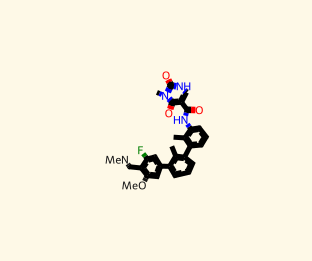 CNCc1c(F)cc(-c2cccc(-c3cccc(NC(=O)c4c[nH]c(=O)n(C)c4=O)c3C)c2C)cc1OC